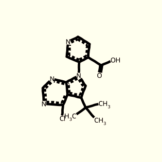 CC(C)(C)c1cn(-c2cnccc2C(=O)O)c2ncnc(Cl)c12